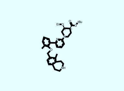 CCO[C@@H]1CN(c2cccc(-c3cccc(C)c3OCc3ccc4c(c3C)CCNCC4)n2)CC[C@@H]1C(=O)OC(C)(C)C